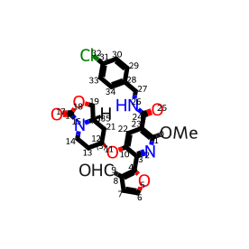 COc1nc(-c2occc2C=O)c(O[C@H]2CCN3C(=O)OC[C@@H]3C2)cc1C(=O)NCc1ccc(Cl)cc1